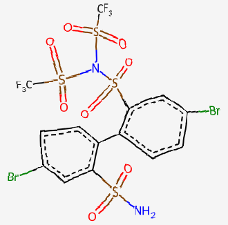 NS(=O)(=O)c1cc(Br)ccc1-c1ccc(Br)cc1S(=O)(=O)N(S(=O)(=O)C(F)(F)F)S(=O)(=O)C(F)(F)F